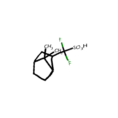 CC1(C)C2CCC1C(C(F)(F)S(=O)(=O)O)C2